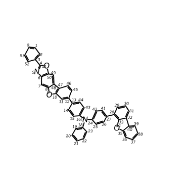 c1ccc(-c2nc3cc4oc5cc(-c6ccc(N(c7ccccc7)c7ccc(-c8cccc9c8oc8ccccc89)cc7)cc6)ccc5c4cc3o2)cc1